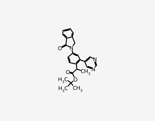 CC(C(=O)OC(C)(C)C)c1ccc(N2Cc3ccccc3C2=O)cc1-c1cncnc1